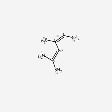 B/C(=C/N)N=C(N)N